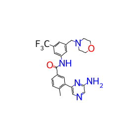 Cc1ccc(C(=O)Nc2cc(CN3CCOCC3)cc(C(F)(F)F)c2)cc1-c1cncc(N)n1